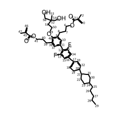 C=C(C)C(=O)OCCCc1cc(-c2c(F)cc(C3=CCC(C4CCC(CCCCC)CC4)C=C3)cc2F)cc(CCCOC(=O)C(=C)C)c1OCCC(C)(CO)CO